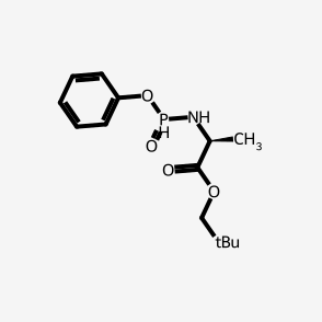 C[C@H](N[PH](=O)Oc1ccccc1)C(=O)OCC(C)(C)C